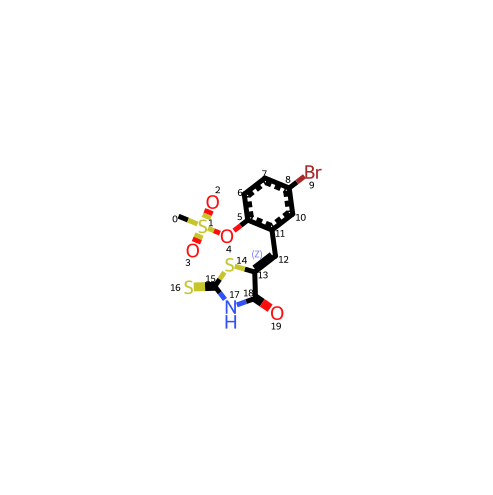 CS(=O)(=O)Oc1ccc(Br)cc1/C=C1\SC(=S)NC1=O